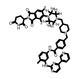 [2H]C1([2H])N(CC2CCN(Cc3ccc(C(=O)Nc4ccc(C)c(Nc5nccc(-c6cccnc6)n5)c4)cc3)CC2)C([2H])([2H])C([2H])([2H])N(c2c(F)cc3c(c2F)C(=O)N(C2CCC(=O)NC2=O)C3=O)C1([2H])[2H]